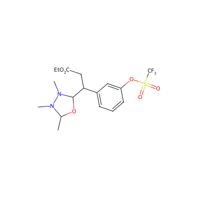 CCOC(=O)CC(c1cccc(OS(=O)(=O)C(F)(F)F)c1)C1OC(C)N(C)N1C